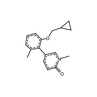 Cc1cccc(OCC2CC2)c1-c1ccc(=O)n(C)c1